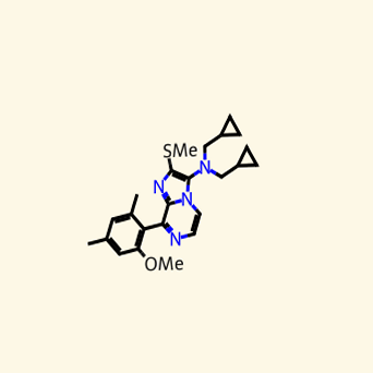 COc1cc(C)cc(C)c1-c1nccn2c(N(CC3CC3)CC3CC3)c(SC)nc12